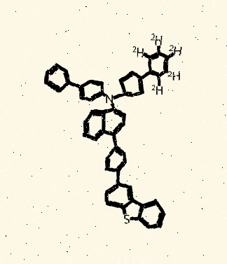 [2H]c1c([2H])c([2H])c(-c2ccc(N(c3ccc(-c4ccccc4)cc3)c3ccc(-c4ccc(-c5ccc6sc7ccccc7c6c5)cc4)c4ccccc34)cc2)c([2H])c1[2H]